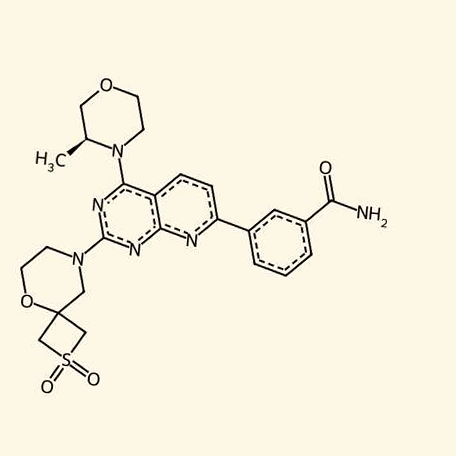 C[C@H]1COCCN1c1nc(N2CCOC3(C2)CS(=O)(=O)C3)nc2nc(-c3cccc(C(N)=O)c3)ccc12